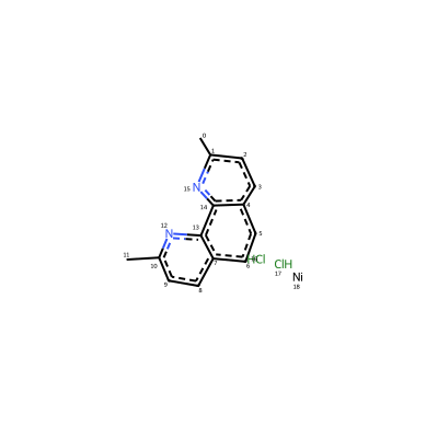 Cc1ccc2ccc3ccc(C)nc3c2n1.Cl.Cl.[Ni]